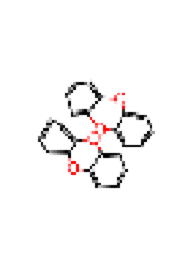 c1ccc2c(c1)Oc1ccccc1O2.c1ccc2c(c1)Oc1ccccc1O2